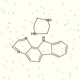 C1CNCCN1.c1ccc2c(c1)[nH]c1c2ccc2nccnc21